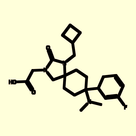 CN(C)C1(C2C=C(F)C=CC2)CCC2(CC1)CN(CC(=O)O)C(=O)N2CC1CCC1